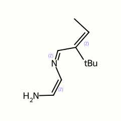 C\C=C(/C=N\C=C/N)C(C)(C)C